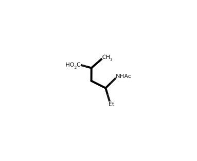 CCC(CC(C)C(=O)O)NC(C)=O